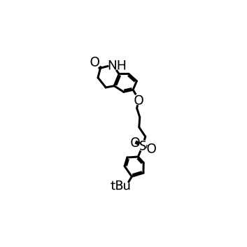 CC(C)(C)c1ccc(S(=O)(=O)CCCCOc2ccc3c(c2)CCC(=O)N3)cc1